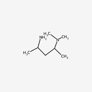 CC(N)CC(C)N(C)C